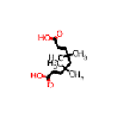 CC(C)(C=CC(=O)O)CC(C)(C)C=CC(=O)O